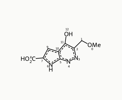 COCc1nnc2[nH]c(C(=O)O)cc2c1O